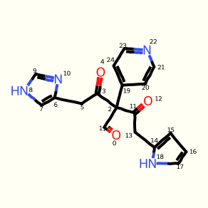 O=[C]C(C(=O)Cc1c[nH]cn1)(C(=O)Cc1ccc[nH]1)c1ccncc1